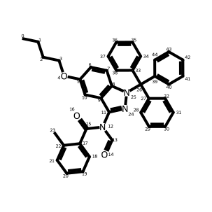 CCCCOc1ccc2c(c1)c(N(C=O)C(=O)c1ccccc1C)nn2C(c1ccccc1)(c1ccccc1)c1ccccc1